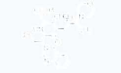 C=C(/C=C\C(C)=C(/C)N1CCOCC1)[C@@H](CC(=O)O)NC(=O)[C@H](CC(C)C)n1cnc2ccccc2c1=O